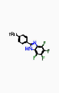 CC(C)(C)c1ccc(-c2nc3c(F)c(F)c(F)c(F)c3[nH]2)cc1